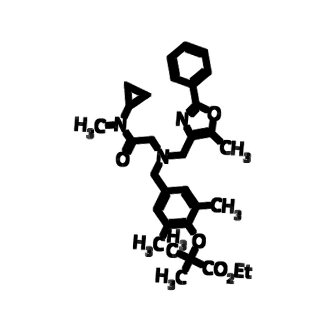 CCOC(=O)C(C)(C)Oc1c(C)cc(CN(CC(=O)N(C)C2CC2)Cc2nc(-c3ccccc3)oc2C)cc1C